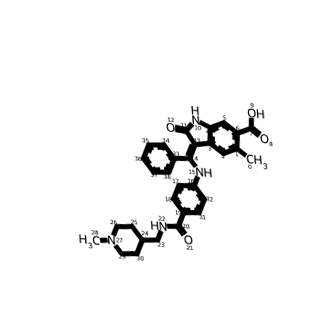 Cc1cc2c(cc1C(=O)O)NC(=O)C2=C(Nc1ccc(C(=O)NCC2CCN(C)CC2)cc1)c1ccccc1